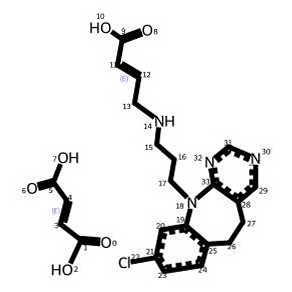 O=C(O)/C=C/C(=O)O.O=C(O)/C=C/CNCCCN1c2cc(Cl)ccc2CCc2cncnc21